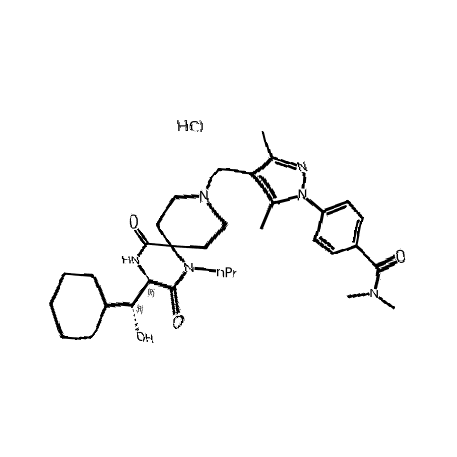 CCCN1C(=O)[C@@H]([C@H](O)C2CCCCC2)NC(=O)C12CCN(Cc1c(C)nn(-c3ccc(C(=O)N(C)C)cc3)c1C)CC2.Cl